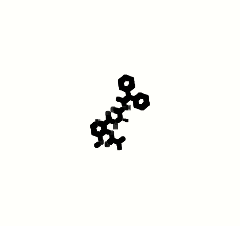 COc1ccnc(C(=O)N[C@@H](C)C(=O)NC(C)=C(c2ccccc2)c2ccccc2)c1OC(=O)C(C)C